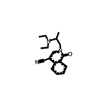 CCN(CC)C(C)Cn1cc(C#N)c2ccccc2c1=O